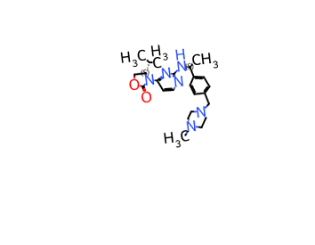 CC(C)[C@H]1COC(=O)N1c1ccnc(N[C@@H](C)c2ccc(CN3CCN(C)CC3)cc2)n1